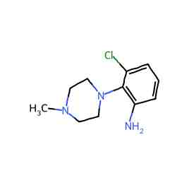 CN1CCN(c2c(N)cccc2Cl)CC1